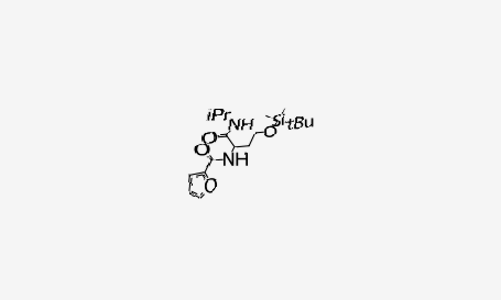 CC(C)NC(=O)C(CCO[Si](C)(C)C(C)(C)C)NC(=O)c1ccco1